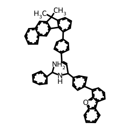 CC1(C)c2cc3ccccc3cc2-c2c(-c3ccc(/C=C/C(NC(N)c4ccccc4)c4ccc(-c5cccc6c5oc5ccccc56)cc4)cc3)cccc21